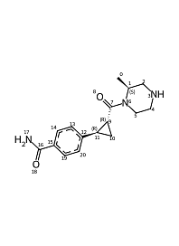 C[C@H]1CNCCN1C(=O)[C@@H]1C[C@H]1c1ccc(C(N)=O)cc1